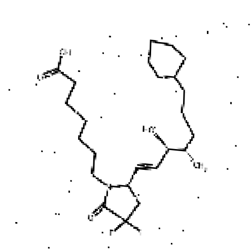 C[C@@H](CCCC1CCCCC1)[C@H](O)C=C[C@H]1CC(F)(F)C(=O)N1CCCCCCC(=O)O